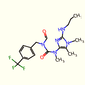 CCCNc1nc(N(C)C(=O)N(C=O)Cc2ccc(C(F)(F)F)cc2)c(C)n1C